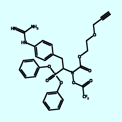 C#CCOCCOC(=O)N(OC(=O)C(F)(F)F)C(Cc1ccc(NC(=N)N)cc1)P(=O)(Oc1ccccc1)Oc1ccccc1